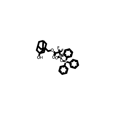 O=C(OCC12CC3CC(CC(O)(C3)C1)C2)C(F)(F)S(=O)(=O)OS(c1ccccc1)(c1ccccc1)c1ccccc1